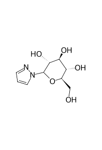 OC[C@H]1OC(n2cccn2)[C@H](O)[C@@H](O)[C@@H]1O